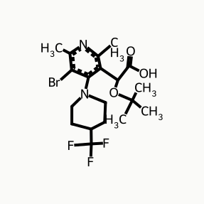 Cc1nc(C)c(C(OC(C)(C)C)C(=O)O)c(N2CCC(C(F)(F)F)CC2)c1Br